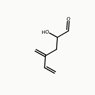 C=CC(=C)CC(O)C=O